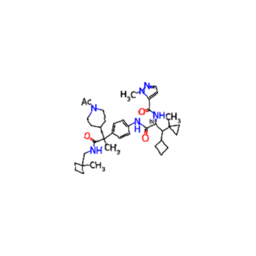 CC(=O)N1CCC(C(C)(C(=O)NCC2(C)CCC2)c2ccc(NC(=O)[C@@H](NC(=O)c3ccnn3C)C(C3CCC3)C3(C)CC3)cc2)CC1